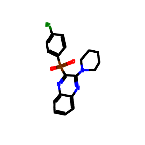 O=S(=O)(c1ccc(Br)cc1)c1nc2ccccc2nc1N1CCCCC1